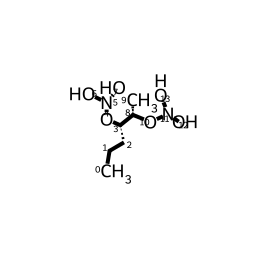 CCC[C@H](ON(O)O)[C@H](C)ON(O)O